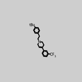 CC(C)(C)c1ccc(CCN2CC=C(c3cccc(C(F)(F)F)c3)CC2)cc1